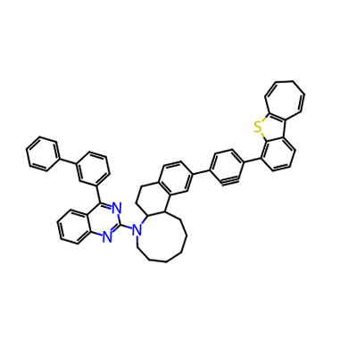 c1c(-c2ccc3c(c2)C2CCCCCCN(c4nc(-c5cccc(-c6ccccc6)c5)c5ccccc5n4)C2CC3)ccc(-c2cccc3c4c(sc23)C=CCC=C4)c#1